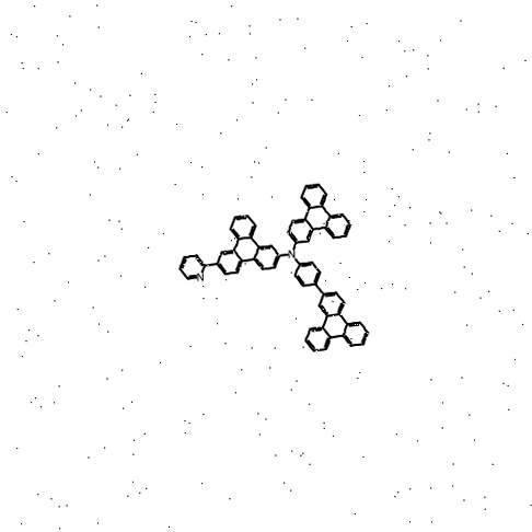 c1ccc(-c2ccc3c4ccc(N(c5ccc(-c6ccc7c8ccccc8c8ccccc8c7c6)cc5)c5ccc6c7ccccc7c7ccccc7c6c5)cc4c4ccccc4c3c2)nc1